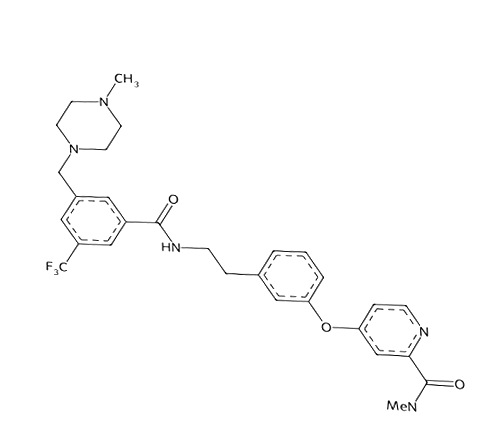 CNC(=O)c1cc(Oc2cccc(CCNC(=O)c3cc(CN4CCN(C)CC4)cc(C(F)(F)F)c3)c2)ccn1